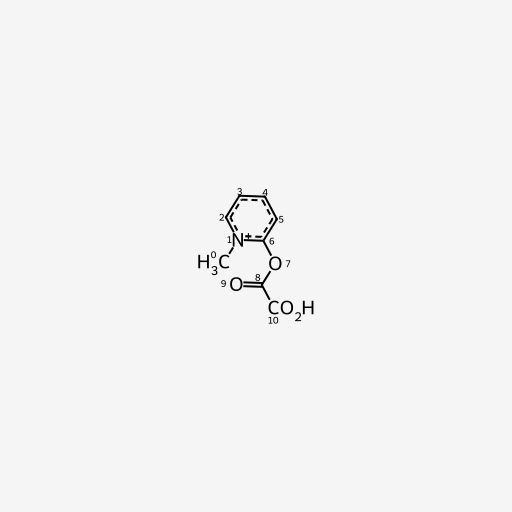 C[n+]1ccccc1OC(=O)C(=O)O